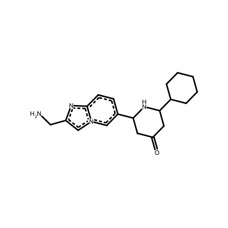 NCc1cn2cc(C3CC(=O)CC(C4CCCCC4)N3)ccc2n1